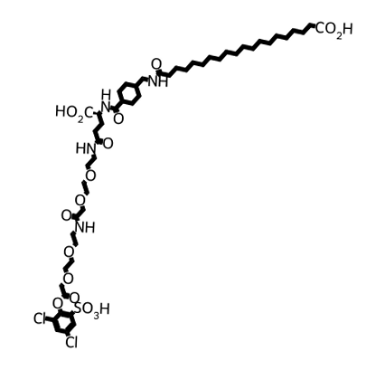 O=C(O)CCCCCCCCCCCCCCCCCCC(=O)NCC1CCC(C(=O)N[C@@H](CCC(=O)NCCOCCOCC(=O)NCCOCCOCC(=O)Oc2c(Cl)cc(Cl)cc2S(=O)(=O)O)C(=O)O)CC1